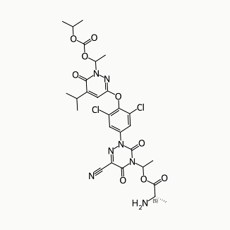 CC(C)OC(=O)OC(C)n1nc(Oc2c(Cl)cc(-n3nc(C#N)c(=O)n(C(C)OC(=O)[C@H](C)N)c3=O)cc2Cl)cc(C(C)C)c1=O